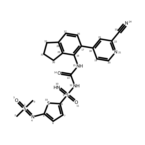 CS(C)(=O)=Nc1ccc(S(=N)(=O)NC(=O)Nc2c(-c3ccnc(C#N)c3)ccc3c2CCC3)s1